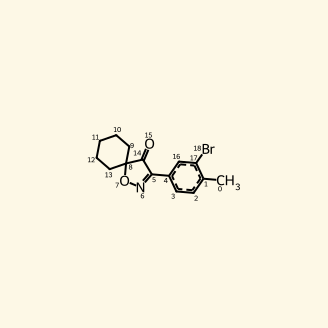 Cc1ccc(C2=NOC3(CCCCC3)C2=O)cc1Br